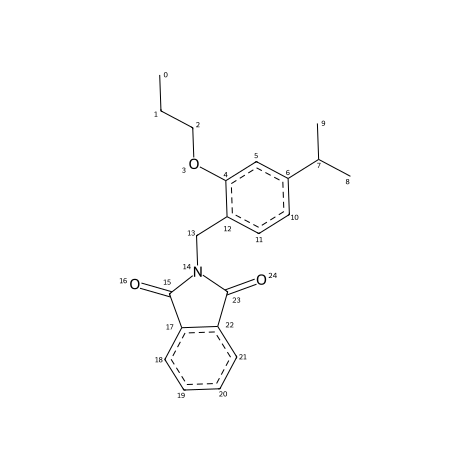 CCCOc1cc(C(C)C)ccc1CN1C(=O)c2ccccc2C1=O